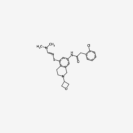 CN(C)/C=N/Sc1cc(NC(=O)Cc2ccccc2Cl)cc2c1CCN(C1COC1)C2